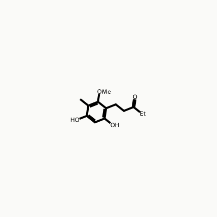 CCC(=O)CCc1c(O)cc(O)c(C)c1OC